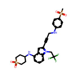 CS(=O)(=O)c1ccc(NCC#Cc2cc3c(NC4CCS(=O)(=O)CC4)cccc3n2CC(F)(F)F)cc1